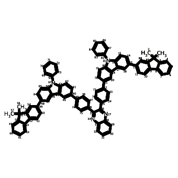 CC1(C)c2ccccc2-c2ccc(-c3ccc4c(c3)c3cc(-c5ccc(-c6nc7ccccc7nc6-c6ccc(-c7ccc8c(c7)c7cc(-c9ccc%10c(c9)C(C)(C)c9ccccc9-%10)ccc7n8-c7ccccc7)cc6)cc5)ccc3n4-c3ccccc3)cc21